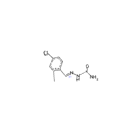 Cc1cc(Cl)ccc1/C=N/NC(N)=O